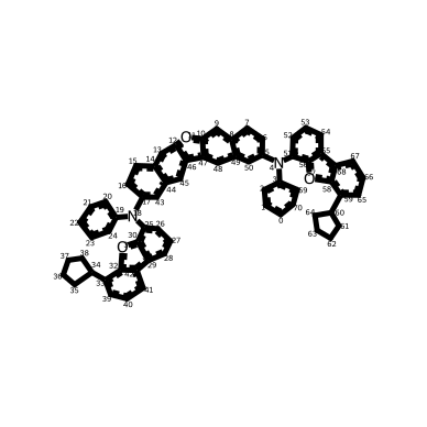 c1ccc(N(c2ccc3cc4oc5cc6ccc(N(c7ccccc7)c7cccc8c7oc7c(C9CCCC9)cccc78)cc6cc5c4cc3c2)c2cccc3c2oc2c(C4CCCC4)cccc23)cc1